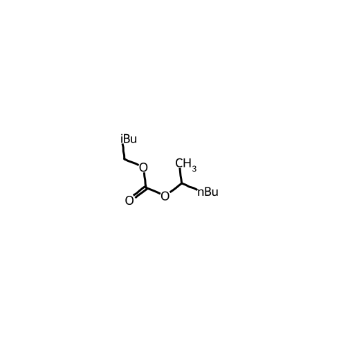 CCCCC(C)OC(=O)OCC(C)CC